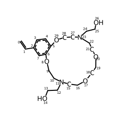 C=Cc1ccc2c(c1)OCCN(CCO)CCOCCOCCN(CCO)CCO2